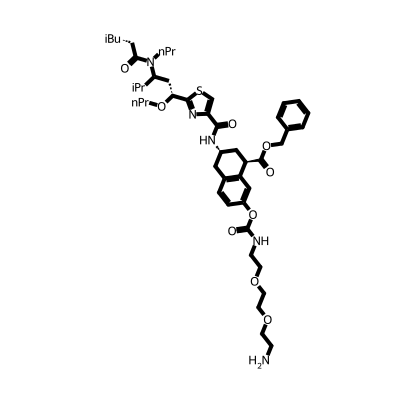 CCCO[C@H](CC(C(C)C)N(CCC)C(=O)C[C@@H](C)CC)c1nc(C(=O)N[C@H]2Cc3ccc(OC(=O)NCCOCCOCCN)cc3[C@H](C(=O)OCc3ccccc3)C2)cs1